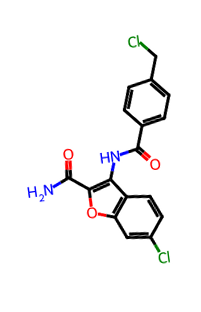 NC(=O)c1oc2cc(Cl)ccc2c1NC(=O)c1ccc(CCl)cc1